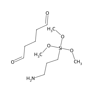 CO[Si](CCCN)(OC)OC.O=CCCCC=O